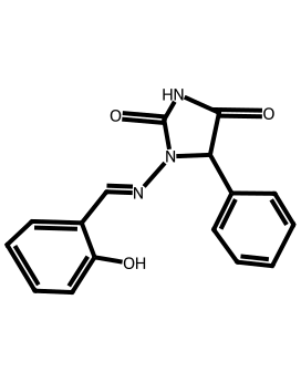 O=C1NC(=O)N(N=Cc2ccccc2O)C1c1ccccc1